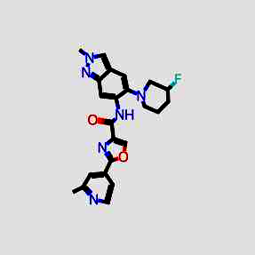 Cc1cc(-c2nc(C(=O)Nc3cc4nn(C)cc4cc3N3CCCC(F)C3)co2)ccn1